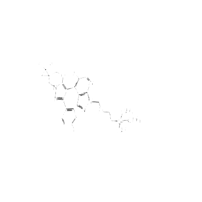 C[Si](C)(C)CCOCn1ncc2c(-c3c(-c4ccc(F)cc4)nn4c3OCC3(C4)CC3(F)F)c(F)cnc21